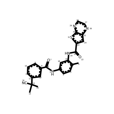 Cc1ccc(NC(=O)c2cccc(C(C)(C)C#N)c2)cc1NC(=O)c1cc2nccnc2s1